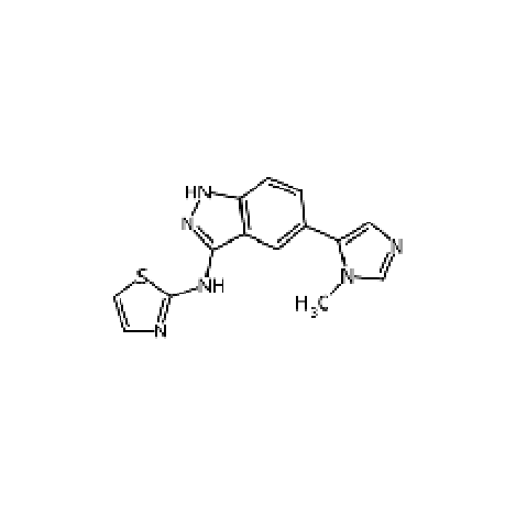 Cn1cncc1-c1ccc2[nH]nc(Nc3nccs3)c2c1